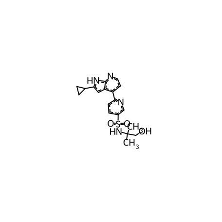 CC(C)(CO)NS(=O)(=O)c1ccc(-c2ccnc3[nH]c(C4CC4)cc23)nc1